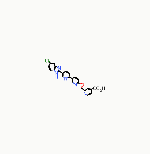 O=C(O)c1ccnc(COc2ccc(-c3ccc(-c4nc5cc(Cl)ccc5[nH]4)cn3)cn2)c1